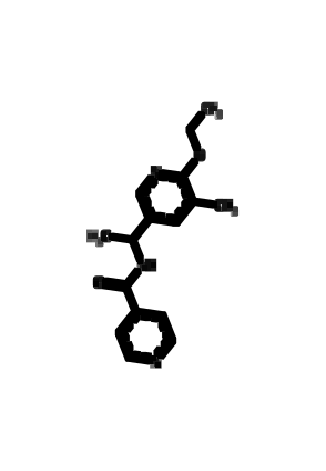 Cc1cc(C(C)NC(=O)c2ccncc2)cnc1OCC(F)(F)F